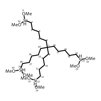 CO[SiH](CCCCCC(CCCCC[SiH](OC)OC)(CCCCC[SiH](OC)OC)CCCCC[SiH](OC)OC)OC